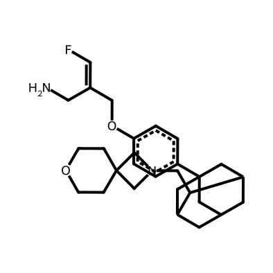 NC/C(=C\F)COc1ccc(C23CC4CC(C2)C(CN2CC5(CCOCC5)C2)C(C4)C3)cc1